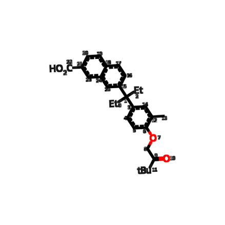 CCC(CC)(c1ccc(OCC(=O)C(C)(C)C)c(C)c1)c1ccc2ccc(C(=O)O)cc2c1